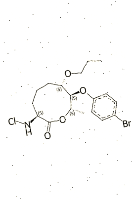 CCCO[C@H]1CCC[C@H](NCl)C(=O)O[C@@H](C)[C@@H]1Oc1ccc(Br)cc1